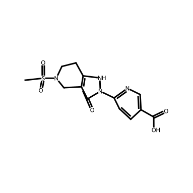 CS(=O)(=O)N1CCc2[nH]n(-c3ccc(C(=O)O)cn3)c(=O)c2C1